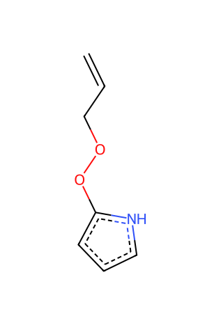 C=CCOOc1ccc[nH]1